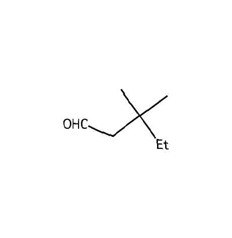 CCC(C)(C)CC=O